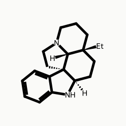 CC[C@@]12CCCN3CC[C@]4(c5ccccc5N[C@@H]4CC1)[C@H]32